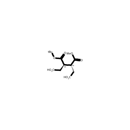 COC(=O)[C@H](CC(=O)O)[C@@H](CC(=O)O)C(=O)OC(C)(C)C